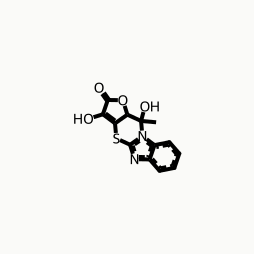 CC1(O)C2OC(=O)C(O)=C2Sc2nc3ccccc3n21